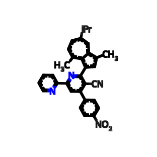 Cc1cc(-c2nc(-c3ccccn3)cc(-c3ccc([N+](=O)[O-])cc3)c2C#N)c2c(C)ccc(C(C)C)cc1-2